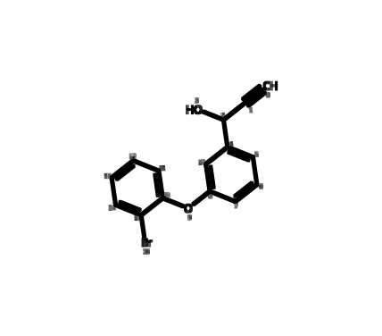 C#CC(O)c1cccc(Oc2ccccc2Br)c1